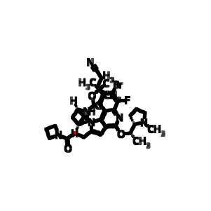 C[C@H](Oc1nc2c(F)c(Br)c(CCC#N)cc2c2c1cc(CCC(=O)N1CCC1)n2[C@H]1[C@@H]2C[C@H]1N(C(=O)OC(C)(C)C)C2)[C@@H]1CCCN1C